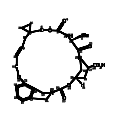 CC(C)(C)[C@@H]1NC(=O)OCC2(C/C=C/COc3cccc4c3CN(C4)C(=O)O[C@@H]3CC(C(=O)O)N(C3)C1=O)CC2